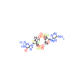 Nc1nc2c(ncn2[C@@H]2S[C@@H]3COP(=O)(S)O[C@H]4[C@H](F)[C@H](n5nnc6c(N)ncnc65)O[C@@H]4COP(=O)(S)O[C@@H]2[C@@H]3F)c(=O)[nH]1